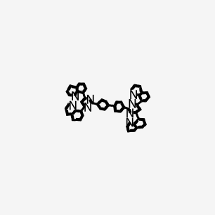 c1cnc2c(-c3cc(-c4cccc5cccnc45)nc(-c4ccc(-c5ccc(-c6nc(-c7cccc8cccnc78)cc(-c7cccc8cccnc78)n6)cc5)cc4)n3)cccc2c1